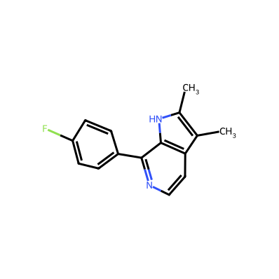 Cc1[nH]c2c(-c3ccc(F)cc3)nccc2c1C